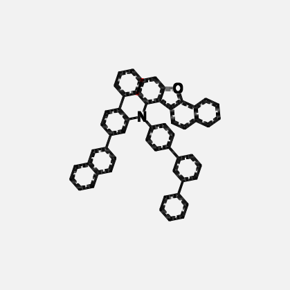 c1ccc(-c2cccc(-c3ccc(N(c4cc(-c5ccc6ccccc6c5)ccc4-c4ccccc4)c4cccc5oc6c7ccccc7ccc6c45)cc3)c2)cc1